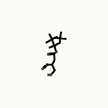 CC(C)(C)CC(C)(OC(=O)CC(CO)N=O)C(C)(C)C